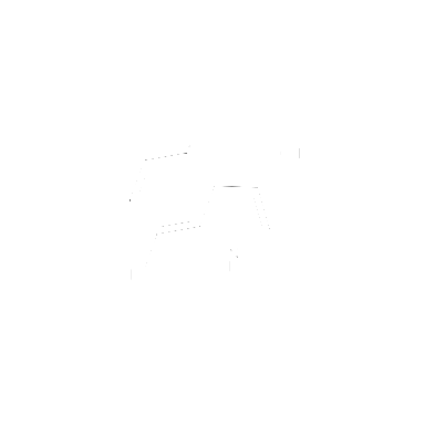 CCc1cccc2c(C=O)c[nH]c12